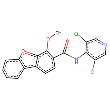 COc1c(C(=O)Nc2c(Cl)cncc2Cl)ccc2c1oc1ccccc12